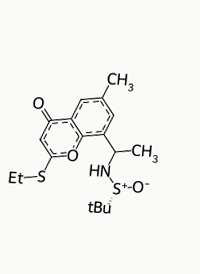 CCSc1cc(=O)c2cc(C)cc(C(C)N[S@+]([O-])C(C)(C)C)c2o1